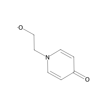 [O]CCn1ccc(=O)cc1